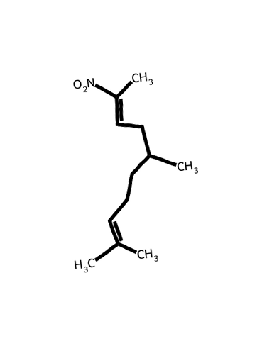 CC(C)=CCCC(C)C/C=C(\C)[N+](=O)[O-]